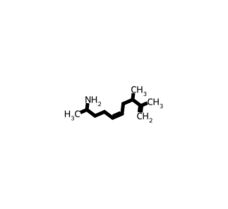 C=C(C)C(C)C/C=C\CCC(C)N